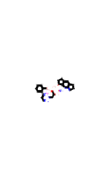 O=C(Nc1c2c(cc3c1CCC3)CCC2)OC(Cc1ncccn1)C(=O)OCc1ccccc1